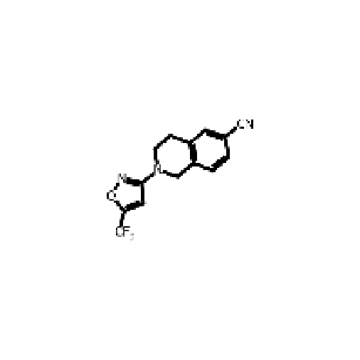 N#Cc1ccc2c(c1)CCN(c1cc(C(F)(F)F)on1)C2